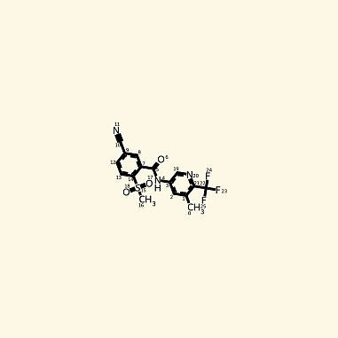 Cc1cc(NC(=O)c2cc(C#N)ccc2S(C)(=O)=O)cnc1C(F)(F)F